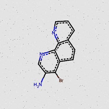 Nc1cnc2c(ccc3cccnc32)c1Br